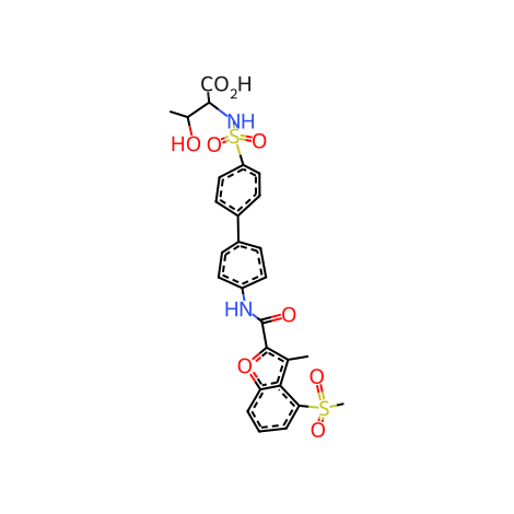 Cc1c(C(=O)Nc2ccc(-c3ccc(S(=O)(=O)NC(C(=O)O)C(C)O)cc3)cc2)oc2cccc(S(C)(=O)=O)c12